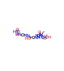 C=CCn1c(=O)c2cnc(Nc3ccc([C@@H](O)CN4CCN(c5ccc(NC6CCC(=O)NC6=O)cc5)CC4)cc3)nc2n1-c1ccc2c(n1)[C@@](O)(CI)CC2